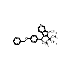 Cn1c(C(C)(C)C)c(C(O)c2ccc(OCc3ccccc3)cc2)c2ccncc21